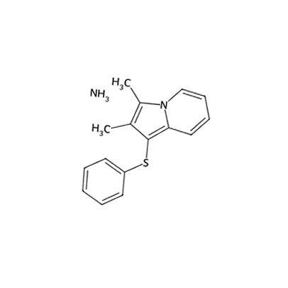 Cc1c(Sc2ccccc2)c2ccccn2c1C.N